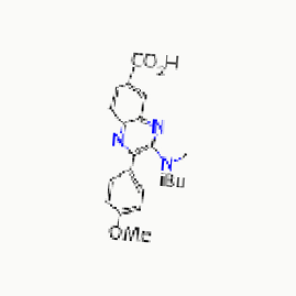 CCC(C)N(C)c1nc2cc(C(=O)O)ccc2nc1-c1ccc(OC)cc1